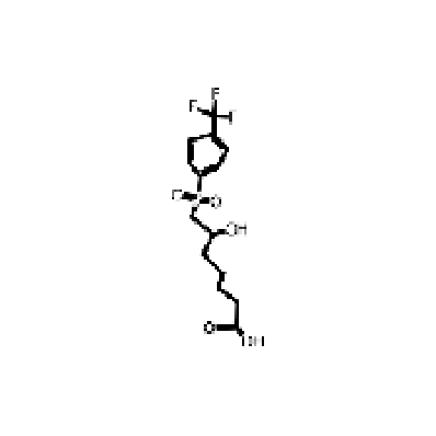 O=C(O)CCCCC(O)CS(=O)(=O)c1ccc(C(F)(F)F)cc1